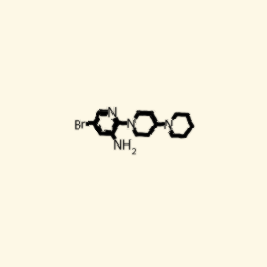 Nc1cc(Br)cnc1N1CCC(N2CCCCC2)CC1